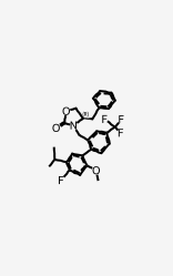 COc1cc(F)c(C(C)C)cc1-c1ccc(C(F)(F)F)cc1CN1C(=O)OC[C@H]1Cc1ccccc1